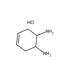 Cl.NC1CC=CCC1N